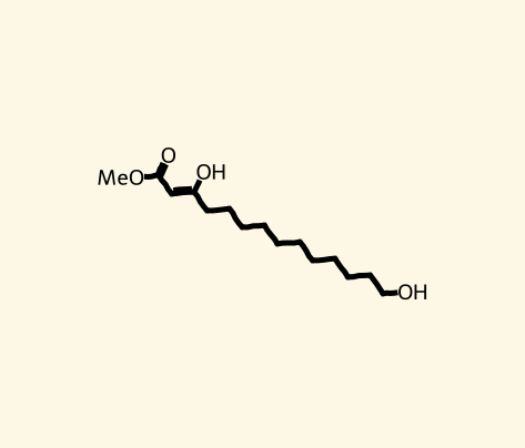 COC(=O)C=C(O)CCCCCCCCCCCO